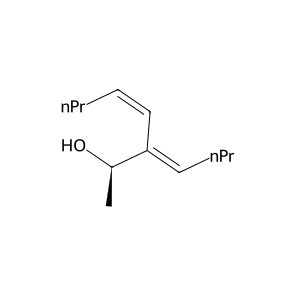 CCC/C=C\C(=C/CCC)[C@@H](C)O